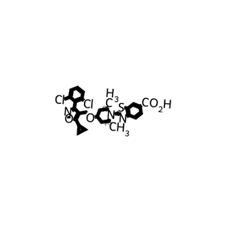 C[C@@H]1CC(OCc2c(-c3c(Cl)cccc3Cl)noc2C2CC2)C[C@H](C)N1c1nc2ccc(C(=O)O)cc2s1